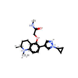 CCNC(=O)COc1c(-c2cnn(C3CC3)c2)ccc2c1CC[C@H](C)N2C(=O)O